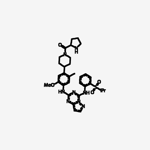 COc1cc(C2CCN(C(=O)C3CCCN3)CC2)c(C)cc1Nc1nc(Nc2ccccc2S(=O)(=O)C(C)C)n2nccc2n1